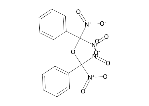 O=[N+]([O-])C(OC(c1ccccc1)([N+](=O)[O-])[N+](=O)[O-])(c1ccccc1)[N+](=O)[O-]